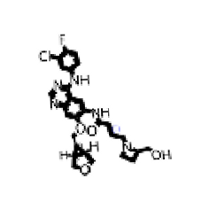 O=C(/C=C/CN1CCC1CO)Nc1cc2c(Nc3ccc(F)c(Cl)c3)ncnc2cc1OC[C@H]1[C@@H]2COC[C@@H]21